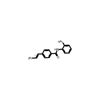 CCCc1ccccc1NC(=O)c1ccc(/C=C/C(C)C)cc1